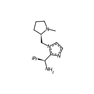 CC(C)[C@H](N)c1nccn1C[C@H]1CCCN1C